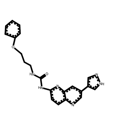 O=C(NCCCOc1ccccc1)Nc1ccc2ncc(-c3cn[nH]c3)cc2n1